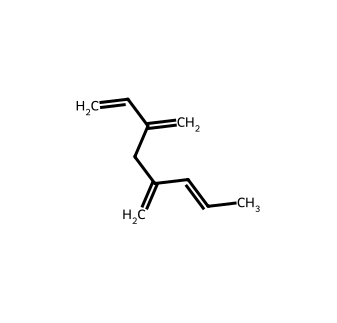 C=CC(=C)CC(=C)C=CC